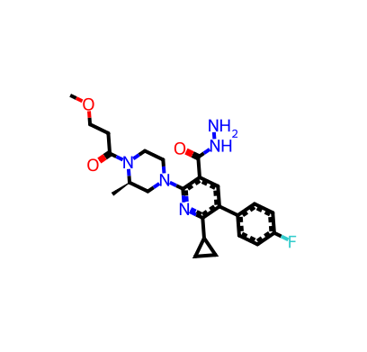 COCCC(=O)N1CCN(c2nc(C3CC3)c(-c3ccc(F)cc3)cc2C(=O)NN)C[C@H]1C